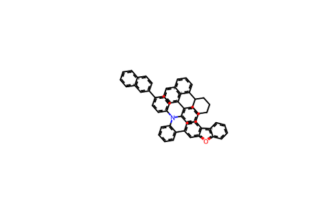 c1ccc(N(c2ccc(-c3ccc4ccccc4c3)cc2)c2ccccc2-c2cccc3cccc(C4CCCCC4)c23)c(-c2ccc3c(c2)oc2ccccc23)c1